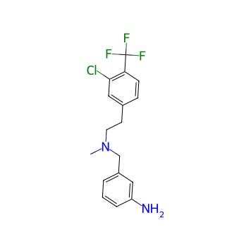 CN(CCc1ccc(C(F)(F)F)c(Cl)c1)Cc1cccc(N)c1